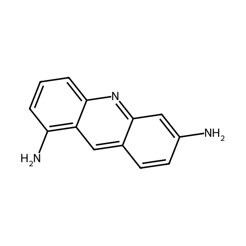 Nc1ccc2cc3c(N)cccc3nc2c1